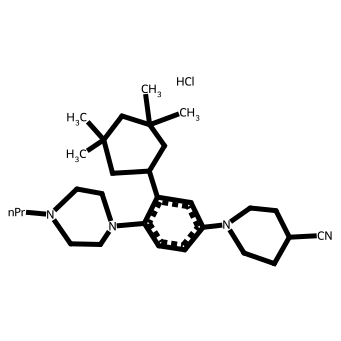 CCCN1CCN(c2ccc(N3CCC(C#N)CC3)cc2C2CC(C)(C)CC(C)(C)C2)CC1.Cl